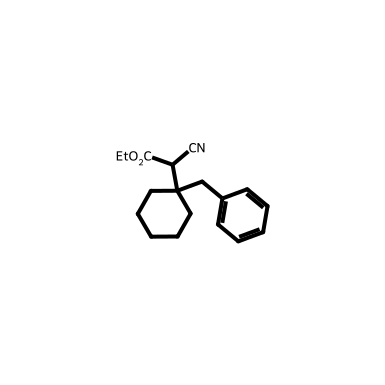 CCOC(=O)C(C#N)C1(Cc2ccccc2)CCCCC1